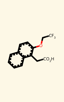 O=C(O)Cc1c(OCC(F)(F)F)ccc2ccccc12